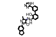 CC1=NN(c2ccc3c(c2)CCC3)C(=O)/C1=N\Nc1cccc(-c2cccc(-c3nnc[nH]3)c2)c1O